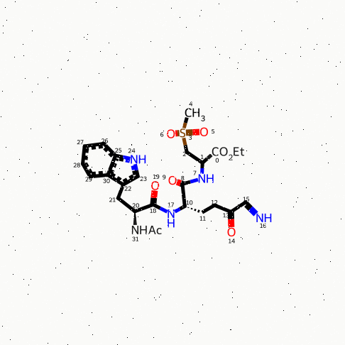 CCOC(=O)C(CS(C)(=O)=O)NC(=O)[C@H](CCC(=O)C=N)NC(=O)[C@H](Cc1c[nH]c2ccccc12)NC(C)=O